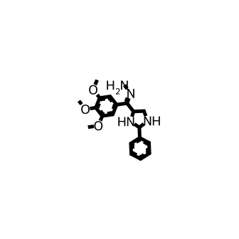 COc1cc(/C(=N\N)C2CNC(c3ccccc3)N2)cc(OC)c1OC